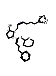 O[C@@H]1CC[C@@H](C(=CCCc2ccccc2)OC2CCCCO2)[C@@H]1C/C=C\CCCc1nnn[nH]1